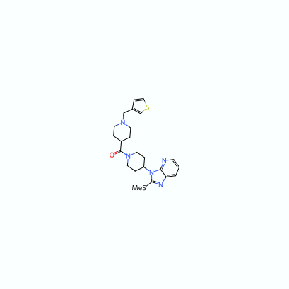 CSc1nc2cccnc2n1C1CCN(C(=O)C2CCN(Cc3ccsc3)CC2)CC1